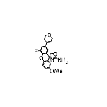 COc1ccc2c(c1)[C@]1(COC(N)=N1)c1cc(C3=CCOCC3)cc(F)c1O2